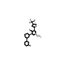 Cn1cc(-c2cccc(-c3cccc(I)c3)c2)c(=S)c(-c2cc(C(F)(F)F)cs2)c1